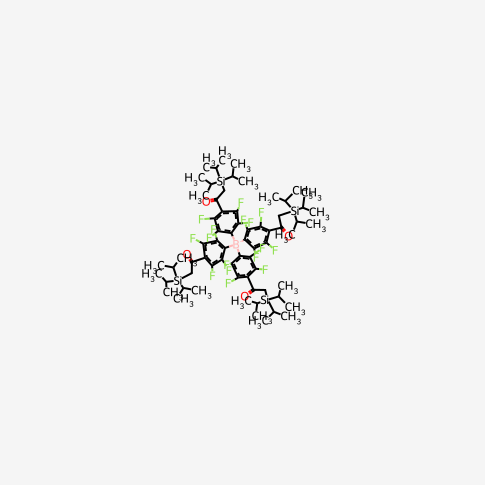 CC(C)[Si](CC(=O)c1c(F)c(F)c([B-](c2c(F)c(F)c(C(=O)C[Si](C(C)C)(C(C)C)C(C)C)c(F)c2F)(c2c(F)c(F)c(C(=O)C[Si](C(C)C)(C(C)C)C(C)C)c(F)c2F)c2c(F)c(F)c(C(=O)C[Si](C(C)C)(C(C)C)C(C)C)c(F)c2F)c(F)c1F)(C(C)C)C(C)C